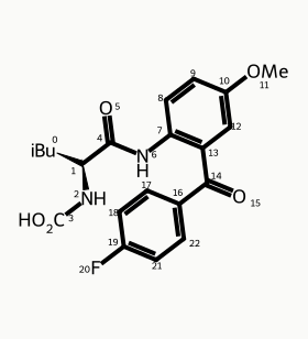 CC[C@H](C)[C@H](NC(=O)O)C(=O)Nc1ccc(OC)cc1C(=O)c1ccc(F)cc1